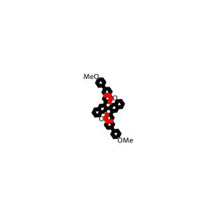 COc1ccc(-c2ccc(C(=O)Oc3c(-c4c(-c5ccccc5)cc5ccccc5c4OC(=O)c4ccc(-c5ccc(OC)cc5)cc4)c(-c4ccccc4)cc4ccccc34)cc2)cc1